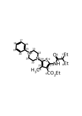 CCOC(=O)c1c(NC(=O)C(CC)CC)sc(N2CCN(c3ccccc3)CC2)c1C